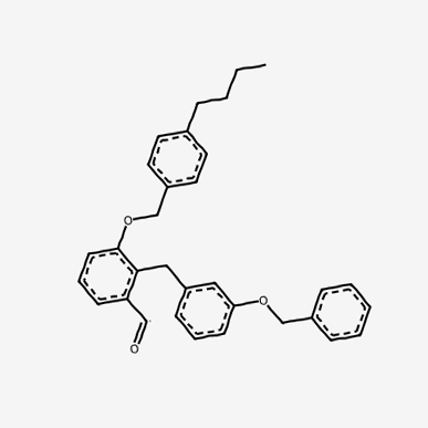 CCCCc1ccc(COc2cccc([C]=O)c2Cc2cccc(OCc3ccccc3)c2)cc1